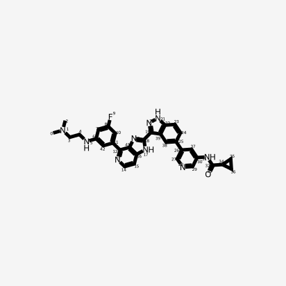 CN(C)CCNc1cc(F)cc(-c2nccc3[nH]c(-c4n[nH]c5ccc(-c6cncc(NC(=O)C7CC7)c6)cc45)nc23)c1